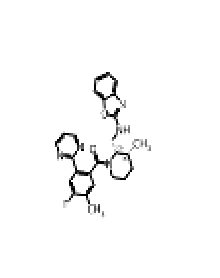 Cc1cc(C(=O)N2CCC[C@@H](C)[C@H]2CNc2nc3ccccc3o2)c(-c2ncccn2)cc1F